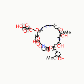 CO[C@@H]1C[C@H](C[C@@H](C)[C@@H]2CC(O)[C@H](C)/C=C(\C)[C@@H](O)[C@@H](OC)C(=O)[C@H](C)C[C@H](C)/C=C/C=C/C=C(\C)[C@@H](OCCO[C@@H]3CO[C@H]4[C@@H]3OC[C@H]4O)C[C@@H]3CC[C@@H](C)[C@@](O)(O3)C(=O)C(=O)N3CCCC[C@H]3C(=O)O2)CC[C@H]1O